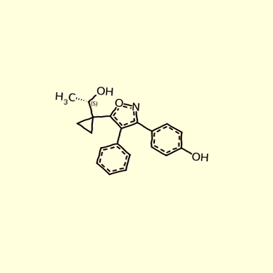 C[C@H](O)C1(c2onc(-c3ccc(O)cc3)c2-c2ccccc2)CC1